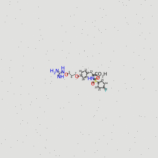 N=C(N)NOCCCOc1ccc(C[C@H](NS(=O)(=O)c2ccc(F)cc2)C(=O)O)cc1